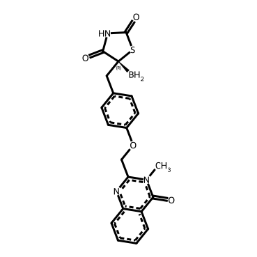 B[C@]1(Cc2ccc(OCc3nc4ccccc4c(=O)n3C)cc2)SC(=O)NC1=O